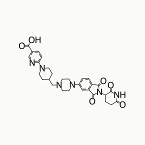 O=C1CCC(N2C(=O)c3ccc(N4CCN(CC5CCN(c6ccc(C(=O)O)cn6)CC5)CC4)cc3C2=O)C(=O)N1